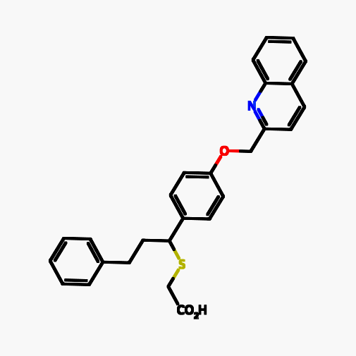 O=C(O)CSC(CCc1ccccc1)c1ccc(OCc2ccc3ccccc3n2)cc1